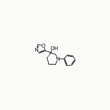 OC1(c2cnco2)CCCN(c2ccccc2)C1